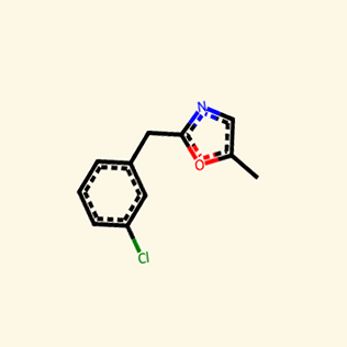 Cc1cnc(Cc2cccc(Cl)c2)o1